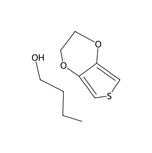 CCCCO.c1scc2c1OCCO2